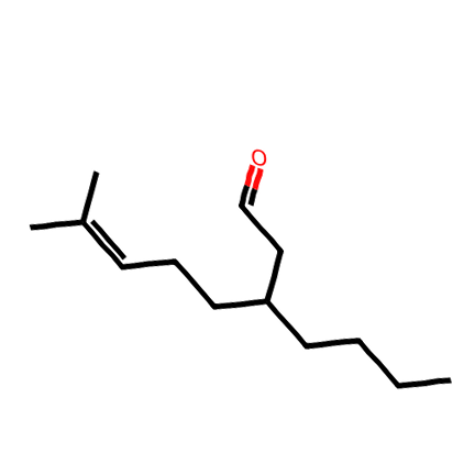 CCCCC(CC=O)CCC=C(C)C